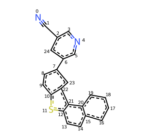 N#Cc1cncc(-c2ccc3sc4ccc5ccccc5c4c3c2)c1